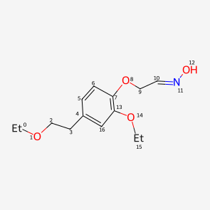 CCOCCc1ccc(OCC=NO)c(OCC)c1